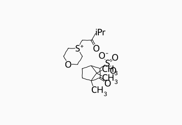 CC(C)C(=O)C[S+]1CCOCC1.CC12CCC(C(S(=O)(=O)[O-])C1=O)C2(C)C